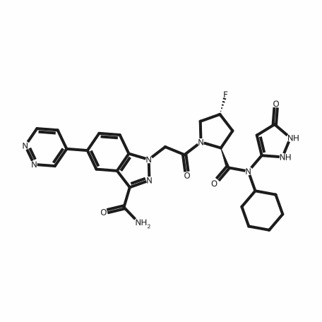 NC(=O)c1nn(CC(=O)N2C[C@H](F)C[C@H]2C(=O)N(c2cc(=O)[nH][nH]2)C2CCCCC2)c2ccc(-c3ccnnc3)cc12